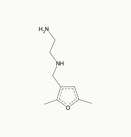 Cc1cc(CNCCN)c(C)o1